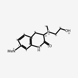 CNc1ccc2c(c1)NC(=O)C(N(C)CCO)C2